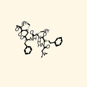 CC(C)C[C@H](CC(=O)[C@H](Cc1ccccc1)NC(=O)[C@H](CC(C)C)NC(=O)[C@H](CCc1ccccc1)NC(=O)CN(C)C)C(=O)[C@@]1(C)CO1